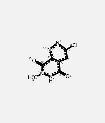 Cn1[nH]c(=O)c2cc(Cl)nnc2c1=O